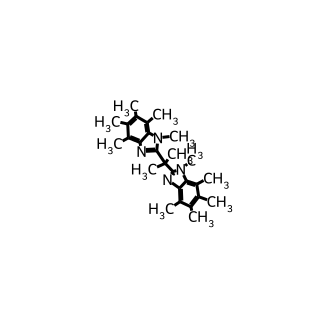 Cc1c(C)c(C)c2c(nc(C(C)(C)c3nc4c(C)c(C)c(C)c(C)c4n3C)n2C)c1C